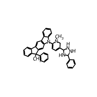 CN1CC(C2NNC(c3ccccc3)N2)=CC=C1n1c2ccccc2c2cc3c(cc21)C(C)(c1ccccc1)c1ccccc1-3